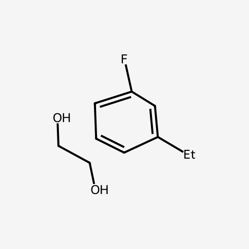 CCc1cccc(F)c1.OCCO